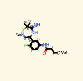 COCCC(=O)Nc1ccc(F)c(C2CN(C)SC(C)(C)C(=N)N2)c1